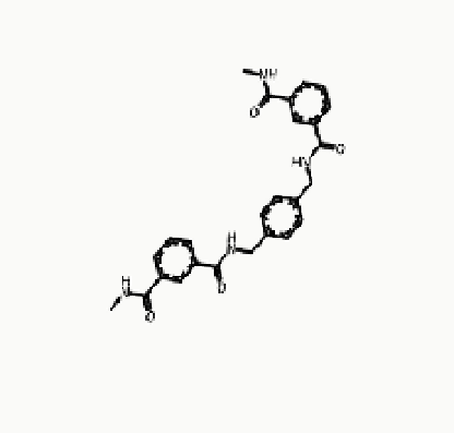 CNC(=O)c1cccc(C(=O)NCc2ccc(CNC(=O)c3cccc(C(=O)NC)c3)cc2)c1